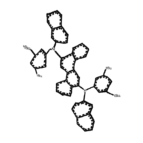 CC(C)(C)c1cc(N(c2ccc3ccccc3c2)c2cc3c4ccccc4c(N(c4cc(C(C)(C)C)cc(C(C)(C)C)c4)c4ccc5ccccc5c4)cc3c3ccccc23)cc(C(C)(C)C)c1